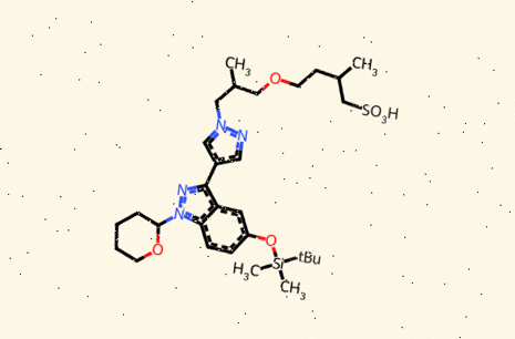 CC(COCCC(C)CS(=O)(=O)O)Cn1cc(-c2nn(C3CCCCO3)c3ccc(O[Si](C)(C)C(C)(C)C)cc23)cn1